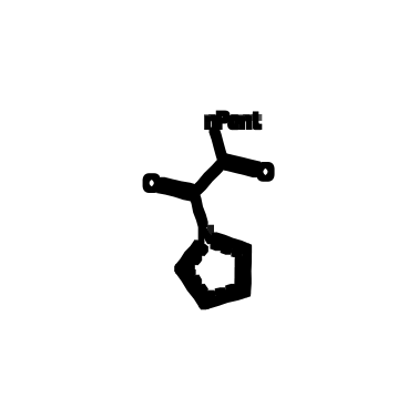 CCCCCC(=O)C(=O)n1cccc1